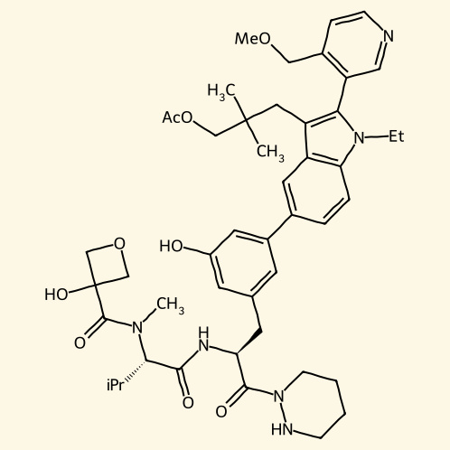 CCn1c(-c2cnccc2COC)c(CC(C)(C)COC(C)=O)c2cc(-c3cc(O)cc(C[C@H](NC(=O)[C@H](C(C)C)N(C)C(=O)C4(O)COC4)C(=O)N4CCCCN4)c3)ccc21